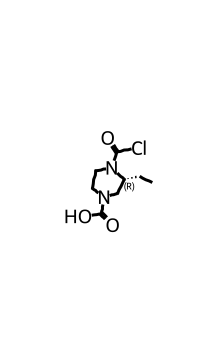 CC[C@@H]1CN(C(=O)O)CCN1C(=O)Cl